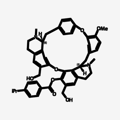 COc1ccc2cc1Oc1ccc(cc1)C[C@H]1c3cc(c(CO)cc3CCN1C)Oc1c(OC(=O)c3ccc(C(C)C)cc3)c(CO)cc3c1[C@H](C2)N(C)CC3